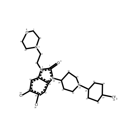 O=c1n(CCN2CCOCC2)c2cc(Cl)c(Cl)cc2n1C1CCN(C2CCC(C(F)(F)F)CC2)CC1